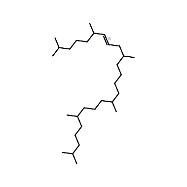 CC(C)CCCC(C)/C=C/CC(C)CCCCC(C)CCCC(C)CCCC(C)C